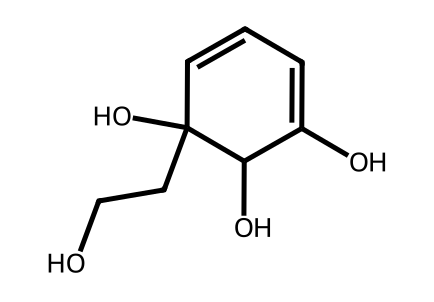 OCCC1(O)C=CC=C(O)C1O